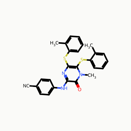 Cc1ccccc1Sc1nc(Nc2ccc(C#N)cc2)c(=O)n(C)c1Sc1ccccc1C